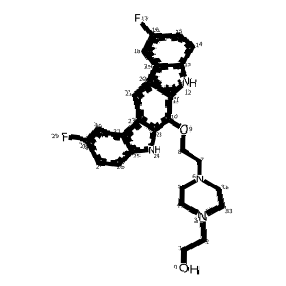 OCCN1CCN(CCOc2c3[nH]c4ccc(F)cc4c3cc3c2[nH]c2ccc(F)cc23)CC1